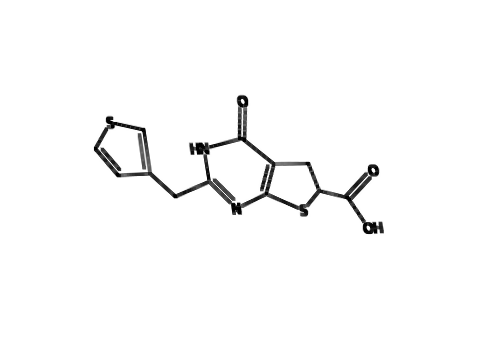 O=C(O)C1Cc2c(nc(Cc3ccsc3)[nH]c2=O)S1